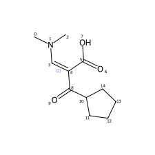 CN(C)/C=C(\C(=O)O)C(=O)C1CCCC1